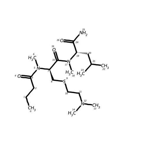 CCCC(=O)N(C)[C@H](CSCCN(C)C)C(=O)N(C)[C@@H](CC(C)C)C(N)=O